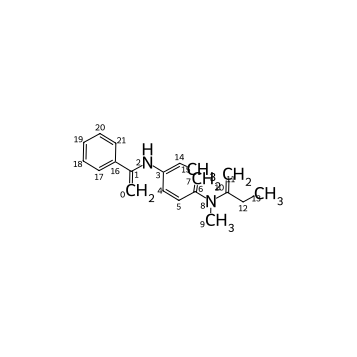 C=C(NC(/C=C\C(=C)N(C)C(=C)CC)=C/C)c1ccccc1